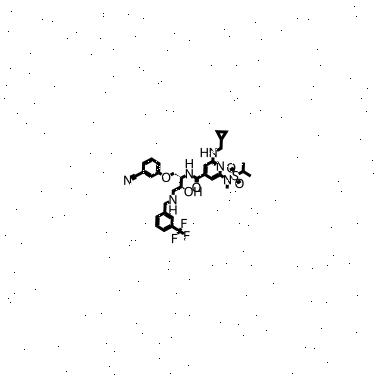 CC(C)S(=O)(=O)N(C)c1cc(C(=O)N[C@@H](COc2cccc(C#N)c2)[C@H](O)CNCc2cccc(C(F)(F)F)c2)cc(NCC2CC2)n1